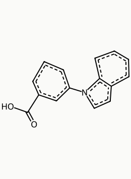 O=C(O)c1cccc(-n2ccc3ccccc32)c1